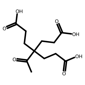 CC(=O)C(CCC(=O)O)(CCC(=O)O)CCC(=O)O